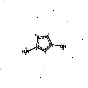 Nc1cc(O)cs1